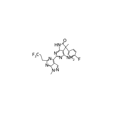 Cn1ncc2c(-c3nc(N)c4c(n3)NC(=O)C4(C)c3ccc(F)cc3)nc(CCC(F)(F)F)nc21